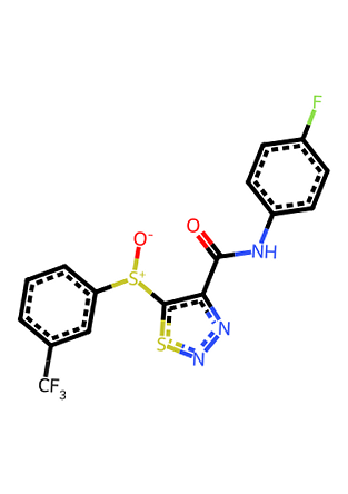 O=C(Nc1ccc(F)cc1)c1nnsc1[S+]([O-])c1cccc(C(F)(F)F)c1